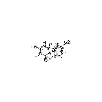 CN1C(=N)N[C@](C)(C2=CCC(C#N)S2)[C@]2(Cc3ccccc32)C1=O